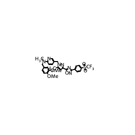 COc1ccc(CN(C)c2ccc(Cn3nc(-c4nc(-c5ccc(S(=O)(=O)C(F)(F)F)cc5)no4)cc3C)cn2)cc1OC